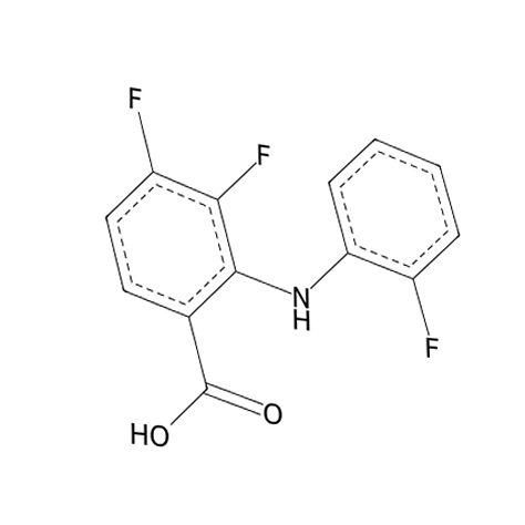 O=C(O)c1ccc(F)c(F)c1Nc1ccccc1F